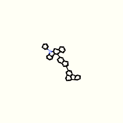 c1ccc(-n2c3ccccc3c3c(-c4ccc5cc(-c6cc7c8c(cccc8c6)-c6ccccc6-7)ccc5c4)c4ccccc4cc32)cc1